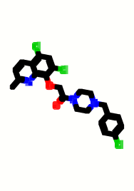 Cc1ccc2c(Cl)cc(Cl)c(OCC(=O)N3CCN(Cc4ccc(Cl)cc4)CC3)c2n1